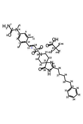 Cc1cc(N(C)C(N)=O)cc(C)c1/C=C/S(=O)(=O)N1CCC2(CC1)N=C(CCCCCc1ccccc1)NC2=O.O=C(O)C(F)(F)F